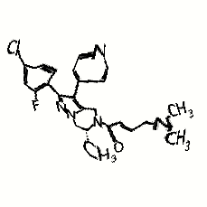 C[C@@H]1Cn2nc(-c3ccc(Cl)cc3F)c(-c3ccncc3)c2CN1C(=O)/C=C/CN(C)C